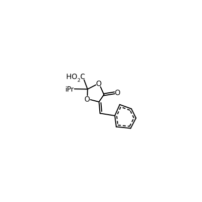 CC(C)C1(C(=O)O)OC(=O)/C(=C\c2ccccc2)O1